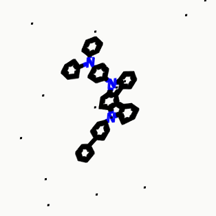 c1ccc(-c2ccc(-n3c4ccccc4c4c5c6ccccc6n(-c6ccc(N(c7ccccc7)c7ccccc7)cc6)c5ccc43)cc2)cc1